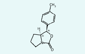 Cc1ccc([C@H]2OC(=O)N3CCC[C@@H]23)cc1